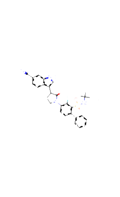 CC(C)(C)NS(=O)(=O)c1c(-c2ccccc2)ccc(N2CCC(c3c[nH]c4cc(C#N)ccc34)C2=O)c1F